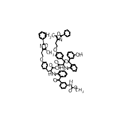 COC(=O)Nc1cccc(C(=O)c2ccccc2NC(Cc2ccc(OCCc3nc(-c4ccccc4)oc3C)cc2)C(=O)OC(=O)C(Cc2ccc(OCCc3nc(-c4ccccc4)oc3C)cc2)Nc2ccccc2C(=O)c2cccc(O)c2)c1